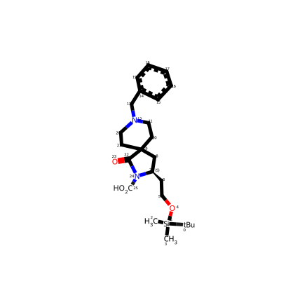 CC(C)(C)[Si](C)(C)OCC[C@@H]1CC2(CCN(Cc3ccccc3)CC2)C(=O)N1C(=O)O